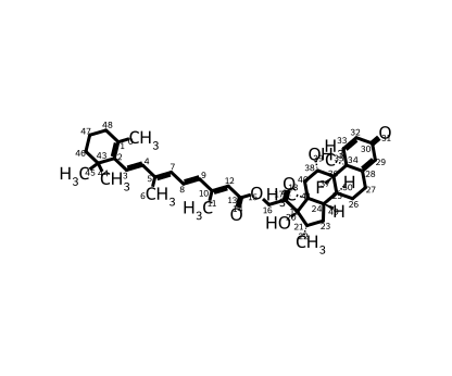 CC1=C(/C=C/C(C)=C/C=C/C(C)=C/C(=O)OCC(=O)[C@@]2(O)[C@@H](C)C[C@H]3[C@@H]4CCC5=CC(=O)C=C[C@]5(C)[C@@]4(F)[C@@H](O)C[C@@]32C)C(C)(C)CCC1